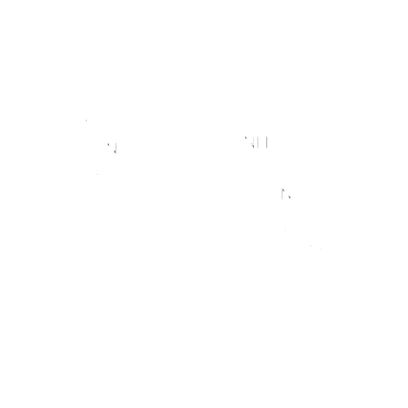 O=c1[nH]c2[nH]c3ccc([N+](=O)[O-])cc3c2c2ccccc12